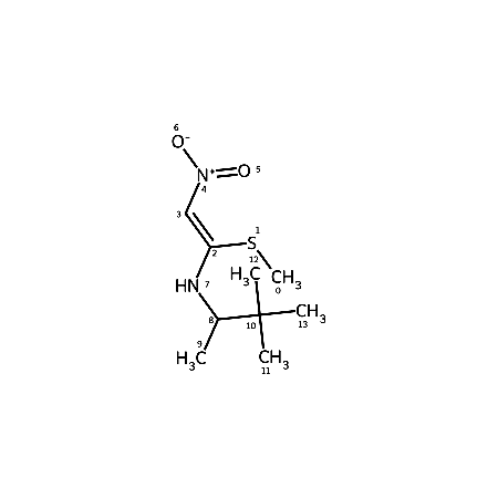 CS/C(=C\[N+](=O)[O-])NC(C)C(C)(C)C